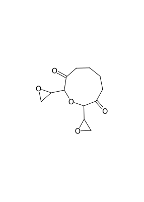 O=C1CCCCC(=O)C(C2CO2)OC1C1CO1